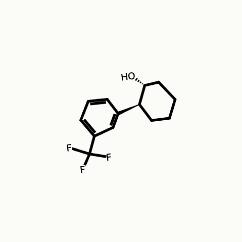 O[C@@H]1CCCC[C@H]1c1cccc(C(F)(F)F)c1